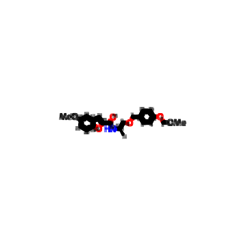 COCOc1ccc(COC[C@@H](C)NC(=O)c2cc3cc(OC)ccc3o2)cc1